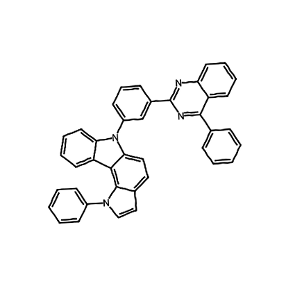 c1ccc(-c2nc(-c3cccc(-n4c5ccccc5c5c6c(ccc54)ccn6-c4ccccc4)c3)nc3ccccc23)cc1